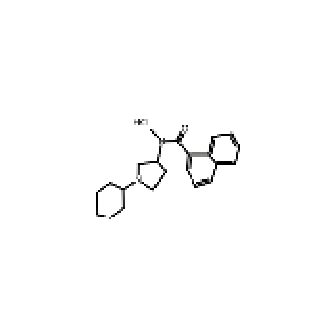 CN(C(=O)c1cccc2ccccc12)C1CCN(C2CCCCC2)C1.Cl